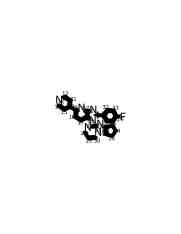 Fc1ccc(-c2nc3nc(-c4ccncc4)ccc3n2C2(NC3CCCC3)N=CC=CN2)cc1